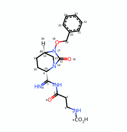 N=C(NC(=O)CCNC(=O)O)[C@@H]1CC[C@@H]2CN1C(=O)N2OCc1ccccc1